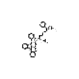 C=C(/C=C/C=C/[C@@H](C)c1ccccc1)n1c2ccccc2c2c3c4ccccc4n4c3c(cc21)Sc1ccccc1-4